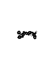 CC1(C)c2cc(C=C3C(=O)c4ccccc4C3=O)ccc2-c2cc3c(cc21)-c1cc2c(cc1C3(C)C)N(c1ccccc1)c1ccccc1C2(C)C